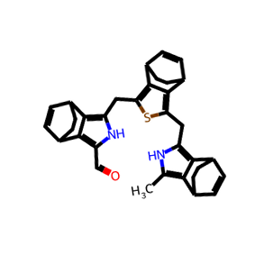 Cc1[nH]c(Cc2sc(Cc3[nH]c(C=O)c4c3C3C=CC4CC3)c3c2C2C=CC3CC2)c2c1C1C=CC2CC1